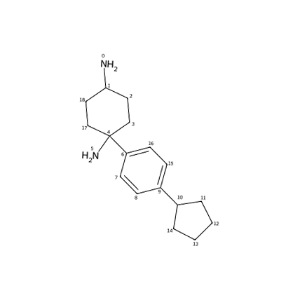 NC1CCC(N)(c2ccc(C3CCCC3)cc2)CC1